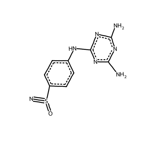 N#S(=O)c1ccc(Nc2nc(N)nc(N)n2)cc1